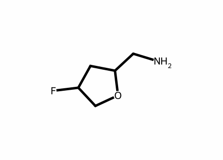 NCC1CC(F)CO1